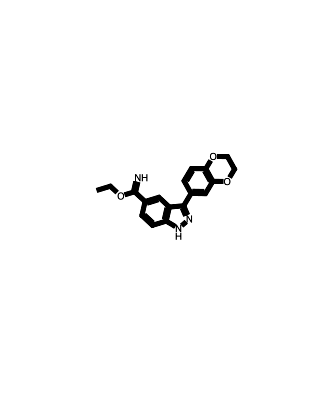 CCOC(=N)c1ccc2[nH]nc(-c3ccc4c(c3)OCCO4)c2c1